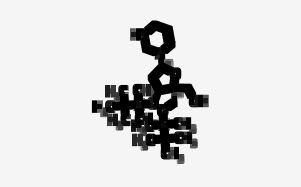 CC(C)(C)[Si](C)(C)OC[C@@]1(CO)O[C@@H](N2C=CCNC2)C[C@@H]1O[Si](C)(C)C(C)(C)C